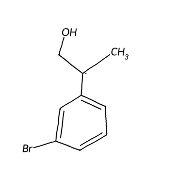 C[C](CO)c1cccc(Br)c1